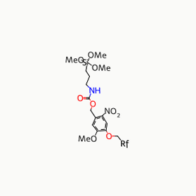 COc1cc(COC(=O)NCCC[Si](OC)(OC)OC)c([N+](=O)[O-])cc1O[CH2][Rf]